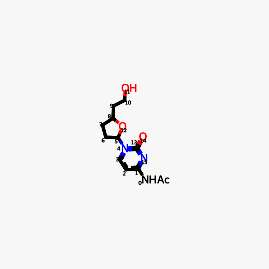 CC(=O)Nc1ccn(C2CCC(CCO)O2)c(=O)n1